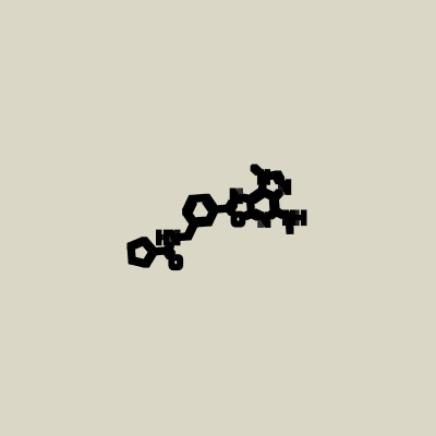 CNc1nc2oc(-c3cccc(CNC(=O)C4CCCC4)c3)nc2c2c1ncn2C